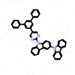 c1ccc(-c2cc(-c3ccccc3)cc(-c3cnc(-n4c5ccccc5c5cc(-n6c7ccccc7c7ccccc76)ccc54)nc3)c2)cc1